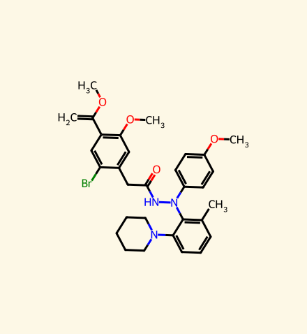 C=C(OC)c1cc(Br)c(CC(=O)NN(c2ccc(OC)cc2)c2c(C)cccc2N2CCCCC2)cc1OC